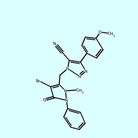 COc1ccc(-c2nnn(Cc3c(Br)c(=O)n(-c4ccccc4)n3C)c2C#N)cc1